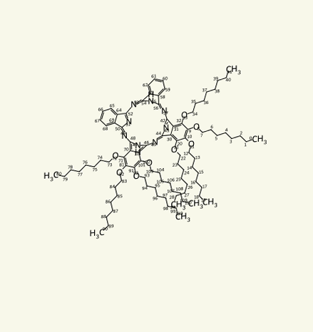 CCCCCCCCOc1c(OCCCCCCCC)c(OCCCCCCCC)c2c(c1OCCCCCCCC)-c1nc-2nc2[nH]c(nc3nc(nc4[nH]c(n1)c1ccccc41)-c1ccccc1-3)c1c(OCCCCCCCC)c(OCCCCCCCC)c(OCCCCCCCC)c(OCCCCCCCC)c21